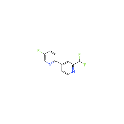 Fc1ccc(-c2ccnc(C(F)F)c2)nc1